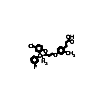 Cc1cc(OCCC(C)Oc2ccc(Cl)cc2Oc2cccc(F)c2)ccc1CCC(=O)O